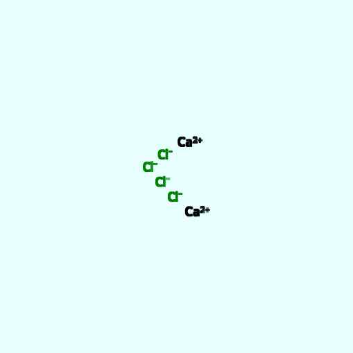 [Ca+2].[Ca+2].[Cl-].[Cl-].[Cl-].[Cl-]